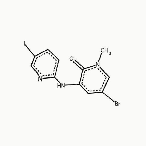 Cn1cc(Br)cc(Nc2ccc(I)cn2)c1=O